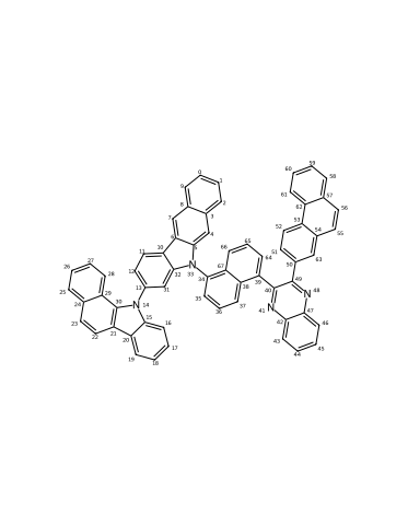 c1ccc2cc3c(cc2c1)c1ccc(-n2c4ccccc4c4ccc5ccccc5c42)cc1n3-c1cccc2c(-c3nc4ccccc4nc3-c3ccc4c(ccc5ccccc54)c3)cccc12